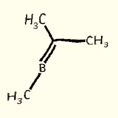 CB=C(C)C